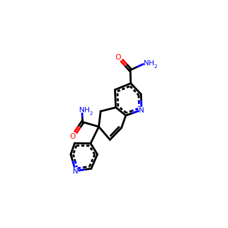 NC(=O)c1cnc2c(c1)CC(C(N)=O)(c1ccncc1)C=C2